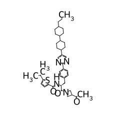 CCCC1CCC(C2CCC(c3cnc(-c4ccc(C[C@H](NC(=O)c5ccc(C(C)C)s5)C(=O)N5CC(C(C)=O)C5)cc4)nc3)CC2)CC1